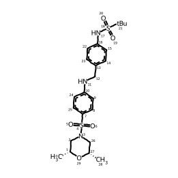 C[C@@H]1CN(S(=O)(=O)c2ccc(NCc3ccc(NS(=O)(=O)C(C)(C)C)cc3)cc2)C[C@H](C)O1